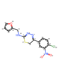 O=[N+]([O-])c1cc(C2=NN=C(NCc3ccco3)SC2)ccc1Cl